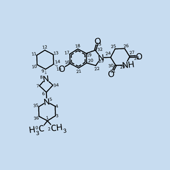 CC1(C)CCN(C2CN([C@@H]3CCCC[C@@H]3Oc3ccc4c(c3)CN(C3CCC(=O)NC3=O)C4=O)C2)CC1